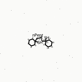 [CH2]CCCCN(CC1(S)CCCCC1)CC1(S)CCCCC1